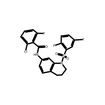 O=C(Nc1ccc2c(c1)N(S(=O)(=O)c1cc(F)ccc1F)CCC2)c1c(F)cccc1Cl